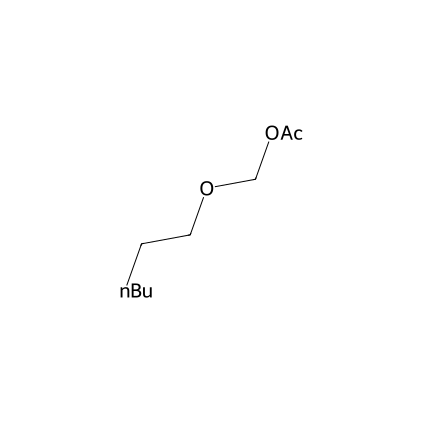 CCCCCCOCOC(C)=O